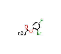 CCCCC(=O)Oc1ccc(F)cc1Br